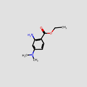 CCOC(=O)c1ccc(N(C)C)cc1N